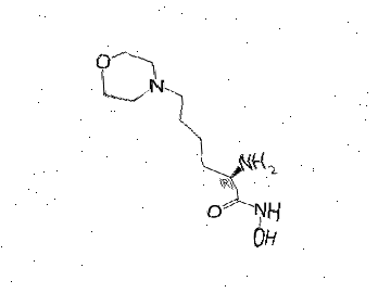 N[C@H](CCCCN1CCOCC1)C(=O)NO